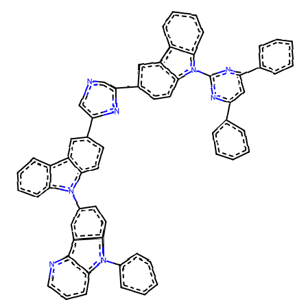 c1ccc(-c2cc(-c3ccccc3)nc(-n3c4ccccc4c4cc(-c5cncc(-c6ccc7c(c6)c6ccccc6n7-c6ccc7c(c6)c6ncccc6n7-c6ccccc6)n5)ccc43)n2)cc1